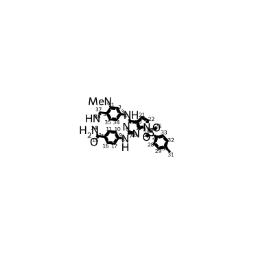 CNc1cc(Nc2nc(Nc3ccc(C(N)=O)cc3)nc3c2ccn3S(=O)(=O)c2ccc(C)cc2)ccc1C=N